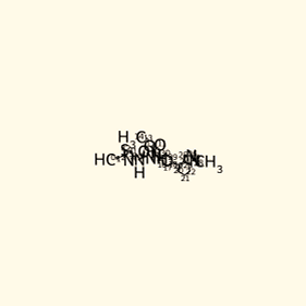 C#Cc1nc(NC(=O)NN(C(=O)OCC)c2ccc(C3=CCCc4c3cnn4C)cc2)cs1